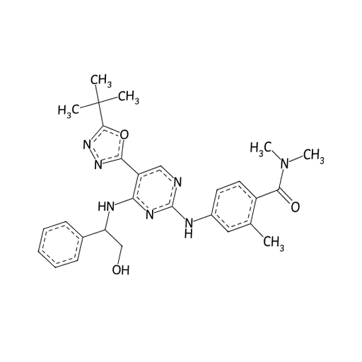 Cc1cc(Nc2ncc(-c3nnc(C(C)(C)C)o3)c(NC(CO)c3ccccc3)n2)ccc1C(=O)N(C)C